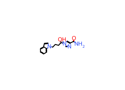 NC(=O)c1cn([C@H](O)CCCn2ccc3ccccc32)cn1